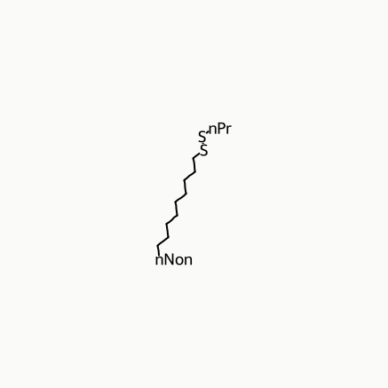 CCCCCCCCCCCCCCCCCCSSCCC